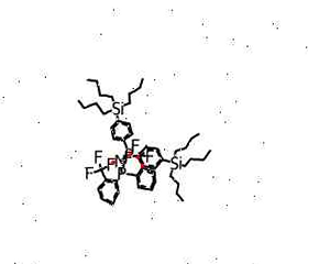 CCCC[Si](CCCC)(CCCC)c1ccc(P(c2ccc([Si](CCCC)(CCCC)CCCC)cc2)N(C)P(c2ccccc2C(F)(F)F)c2ccccc2C(F)(F)F)cc1